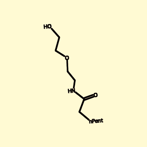 CCCCCCC(=O)NCCOCCO